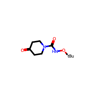 CC(C)(C)ONC(=O)N1CCC(=O)CC1